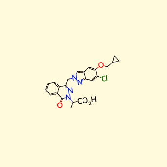 CC(C(=O)O)n1nc(Cn2cc3cc(OCC4CC4)c(Cl)cc3n2)c2ccccc2c1=O